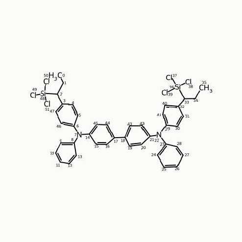 CCC(c1ccc(N(c2ccccc2)c2ccc(-c3ccc(N(c4ccccc4)c4ccc(C(CC)[Si](Cl)(Cl)Cl)cc4)cc3)cc2)cc1)[Si](Cl)(Cl)Cl